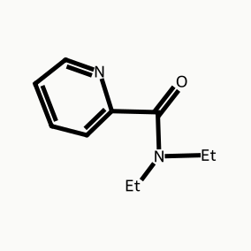 CCN(CC)C(=O)c1ccccn1